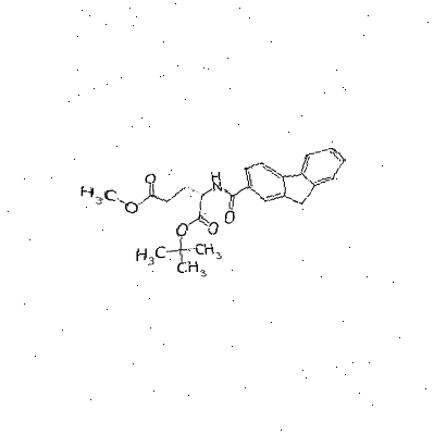 COC(=O)CC[C@H](NC(=O)c1ccc2c(c1)Cc1ccccc1-2)C(=O)OC(C)(C)C